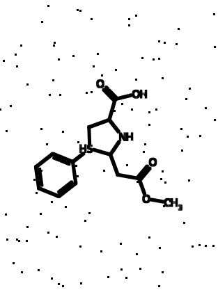 COC(=O)CC1NC(C(=O)O)C[SH]1c1ccccc1